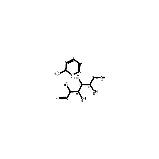 CC1C=CC=CO1.O=CC(O)C(O)C(O)C(O)CO